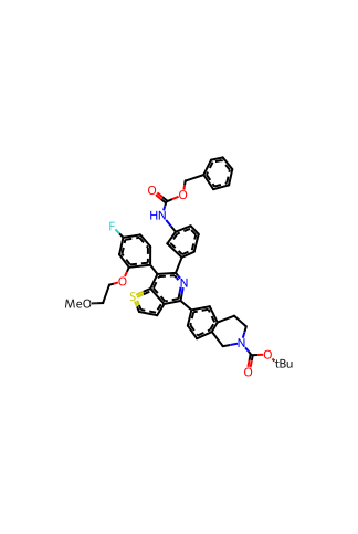 COCCOc1cc(F)ccc1-c1c(-c2cccc(NC(=O)OCc3ccccc3)c2)nc(-c2ccc3c(c2)CCN(C(=O)OC(C)(C)C)C3)c2ccsc12